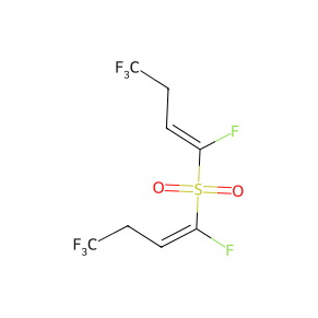 O=S(=O)(C(F)=CCC(F)(F)F)C(F)=CCC(F)(F)F